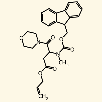 C=CCOC(=O)CC(C(=O)N1CCOCC1)N(C)C(=O)OCC1c2ccccc2-c2ccccc21